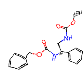 CC(C)(C)OC(=O)NC[C@H](NC(=O)OCc1ccccc1)c1ccccc1